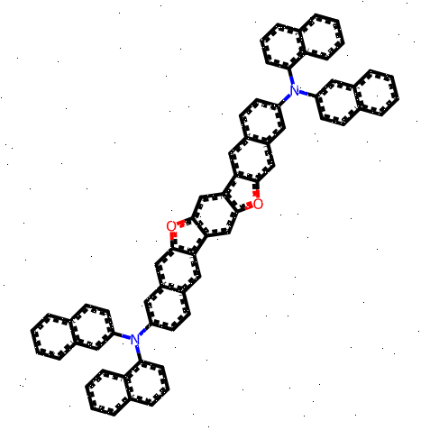 c1ccc2cc(N(c3ccc4cc5c(cc4c3)oc3cc4c(cc35)oc3cc5cc(N(c6ccc7ccccc7c6)c6cccc7ccccc67)ccc5cc34)c3cccc4ccccc34)ccc2c1